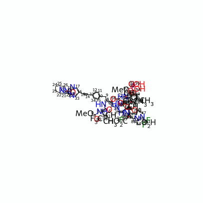 COC(=O)N[C@H](C(=O)N[C@@H](Cc1ccc(C#Cc2cnc(N3CC4CCC(C3)N4C3COC3)nc2)cc1)[C@H](CN(Cc1c(F)cc(-c2ccn(C(F)F)n2)cc1F)NC(=O)[C@@H](NC(=O)OC)C(C)(C)C(F)(F)F)OC(=O)CC(C)(C)c1c(CC(=O)N[C@H](CCC(=O)O)C(=O)O)cc(C)cc1OP(=O)(O)O)C(C)(C)C(F)(F)F